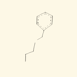 OCCO[CH]c1ccccc1